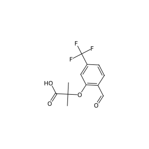 CC(C)(Oc1cc(C(F)(F)F)ccc1C=O)C(=O)O